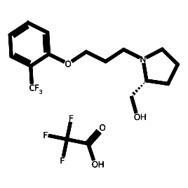 O=C(O)C(F)(F)F.OC[C@H]1CCCN1CCCOc1c[c]ccc1C(F)(F)F